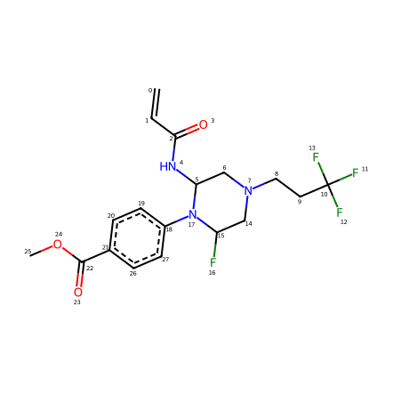 C=CC(=O)NC1CN(CCC(F)(F)F)CC(F)N1c1ccc(C(=O)OC)cc1